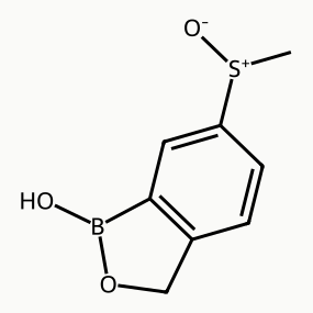 C[S+]([O-])c1ccc2c(c1)B(O)OC2